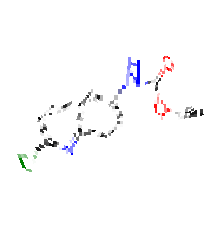 CC(C)(C)OC(=O)Nc1ccc2nc(Cl)ccc2c1